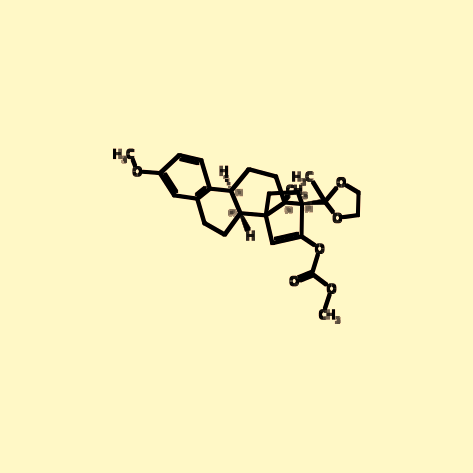 COC(=O)OC1=CC23CC[C@@]1(C1(C)OCCO1)[C@@]2(C)CC[C@@H]1c2ccc(OC)cc2CC[C@H]13